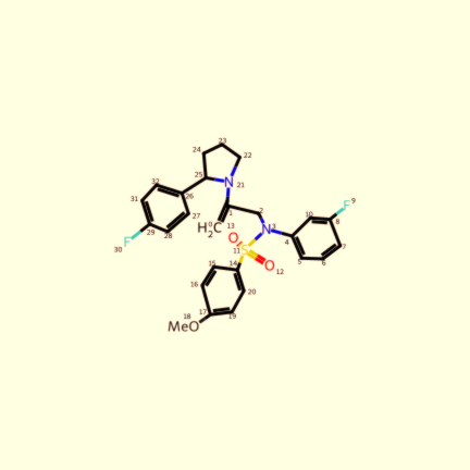 C=C(CN(c1cccc(F)c1)S(=O)(=O)c1ccc(OC)cc1)N1CCCC1c1ccc(F)cc1